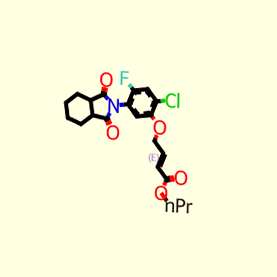 CCCOC(=O)/C=C/COc1cc(N2C(=O)C3CCCCC3C2=O)c(F)cc1Cl